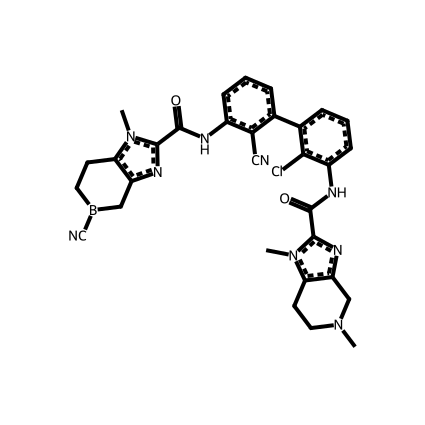 CN1CCc2c(nc(C(=O)Nc3cccc(-c4cccc(NC(=O)c5nc6c(n5C)CCB(C#N)C6)c4C#N)c3Cl)n2C)C1